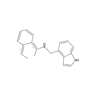 C/C=c1/cccc/c1=C(/C)BCc1cccc2[nH]ccc12